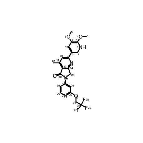 COC1=C(OC)NCC(c2cc(C)c3c(n2)CN(c2ccnc(OCC(F)(F)F)c2)C3=O)=C1